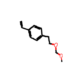 C=Cc1ccc(CCOCOC)cc1